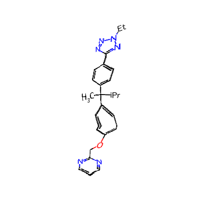 CCn1nnc(-c2ccc(C(C)(c3ccc(OCc4ncccn4)cc3)C(C)C)cc2)n1